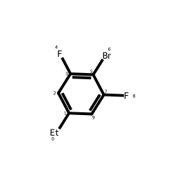 CCc1cc(F)c(Br)c(F)c1